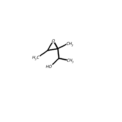 CC(O)C1(C)OC1C